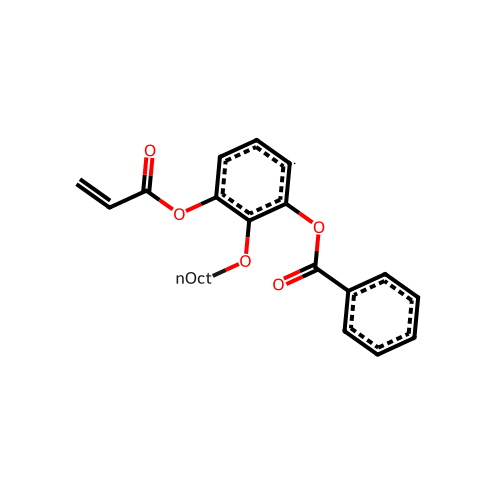 C=CC(=O)Oc1cc[c]c(OC(=O)c2ccccc2)c1OCCCCCCCC